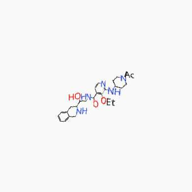 CCOc1c(C(=O)NCC(O)[C@@H]2Cc3ccccc3CN2)ccnc1NC1CCN(C(C)=O)CC1